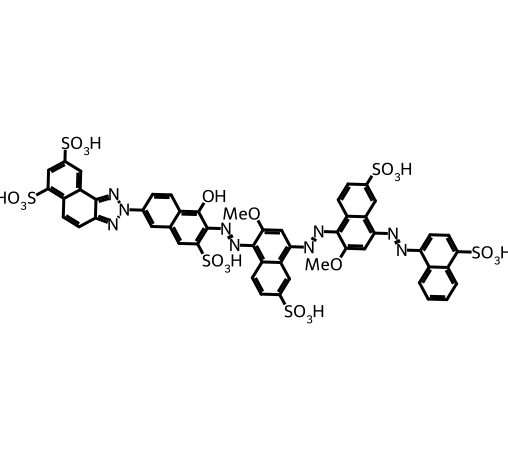 COc1cc(N=Nc2c(OC)cc(N=Nc3ccc(S(=O)(=O)O)c4ccccc34)c3cc(S(=O)(=O)O)ccc23)c2cc(S(=O)(=O)O)ccc2c1N=Nc1c(S(=O)(=O)O)cc2cc(-n3nc4ccc5c(S(=O)(=O)O)cc(S(=O)(=O)O)cc5c4n3)ccc2c1O